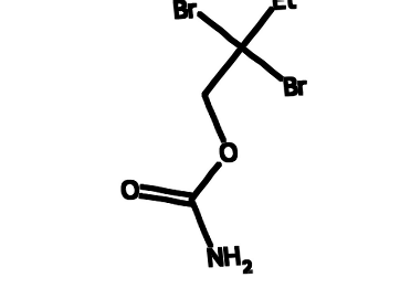 CCC(Br)(Br)COC(N)=O